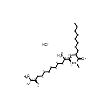 CCCCCCCCC(NC(=O)C(N)CCCCCCCCC(=O)[C@H](C)N)C(=O)OC.Cl